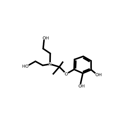 CC(C)(Oc1cccc(O)c1O)N(CCO)CCO